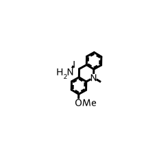 COc1ccc2c(c1)N(C)c1ccccc1C2.NI